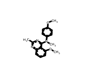 COc1ccc(N(C)c2nc(C)nc3cccc(OC)c23)cc1